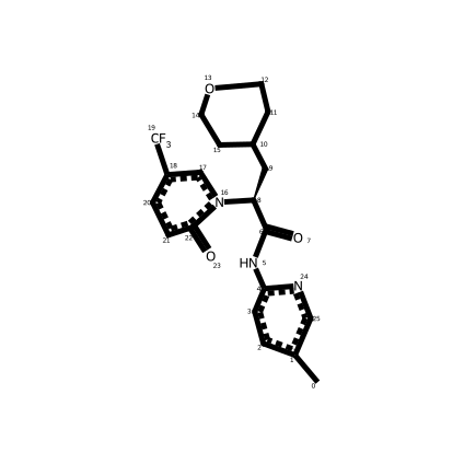 Cc1ccc(NC(=O)[C@H](CC2CCOCC2)n2cc(C(F)(F)F)ccc2=O)nc1